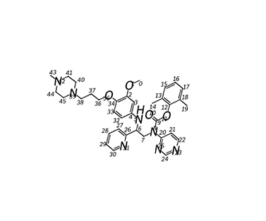 COc1cc(NC(CN(C(=O)Oc2c(C)cccc2C)c2ccncn2)c2ccccn2)ccc1OCCCN1CCN(C)CC1